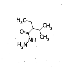 CCC(C(=O)NN)C(C)C